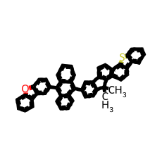 CC1(C)c2ccc(-c3c4ccccc4c(-c4ccc5oc6ccccc6c5c4)c4ccccc34)cc2-c2ccc3c(ccc4c5ccccc5sc34)c21